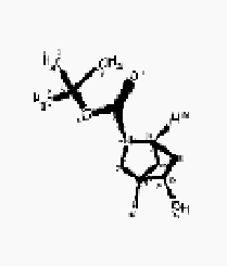 CC(C)(C)OC(=O)N1C[C@@H]2C[C@H]1C[C@H]2O